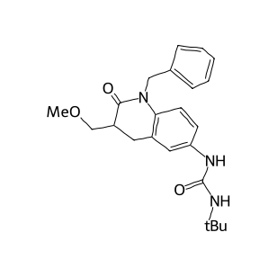 COCC1Cc2cc(NC(=O)NC(C)(C)C)ccc2N(Cc2ccccc2)C1=O